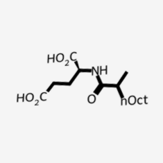 CCCCCCCCC(C)C(=O)N[C@@H](CCC(=O)O)C(=O)O